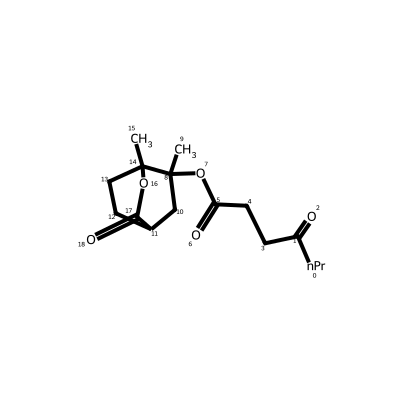 CCCC(=O)CCC(=O)OC1(C)CC2CCC1(C)OC2=O